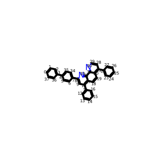 c1ccc(-c2ccc(-c3cc(-c4ccccc4)c4ccc5c(-c6ccccc6)ccnc5c4n3)cc2)cc1